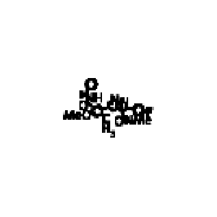 CNC(=O)c1c(-c2ccc(F)cc2)nn2ncc(-c3cc(C(=O)NC4(c5ccccc5)CC4)c(OC)cc3C)cc12